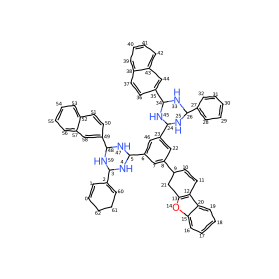 C1=CC(C2NC(c3cc(C4C=Cc5c(oc6ccccc56)C4)cc(C4NC(c5ccccc5)NC(c5ccc6ccccc6c5)N4)c3)NC(c3ccc4ccccc4c3)N2)=CCC1